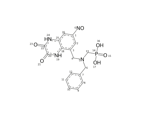 O=Nc1cc(CN(Cc2ccccc2)CP(=O)(O)O)c2[nH]c(=O)c(=O)[nH]c2c1